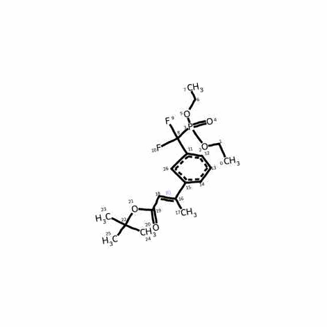 CCOP(=O)(OCC)C(F)(F)c1cccc(/C(C)=C/C(=O)OC(C)(C)C)c1